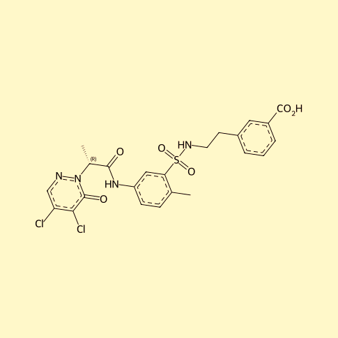 Cc1ccc(NC(=O)[C@@H](C)n2ncc(Cl)c(Cl)c2=O)cc1S(=O)(=O)NCCc1cccc(C(=O)O)c1